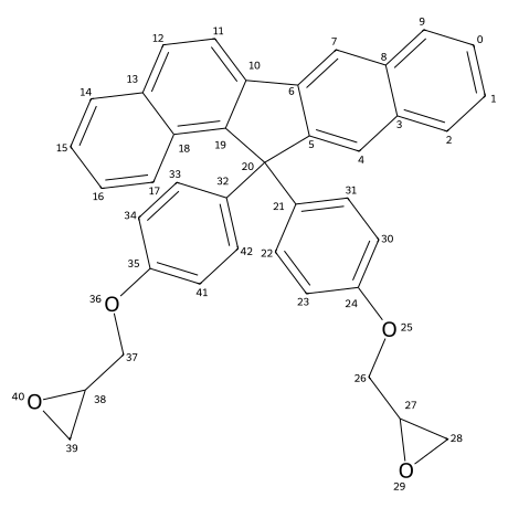 c1ccc2cc3c(cc2c1)-c1ccc2ccccc2c1C3(c1ccc(OCC2CO2)cc1)c1ccc(OCC2CO2)cc1